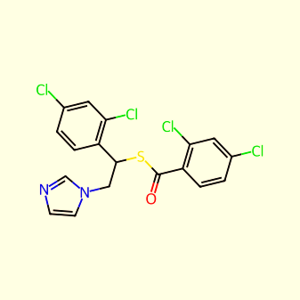 O=C(SC(Cn1ccnc1)c1ccc(Cl)cc1Cl)c1ccc(Cl)cc1Cl